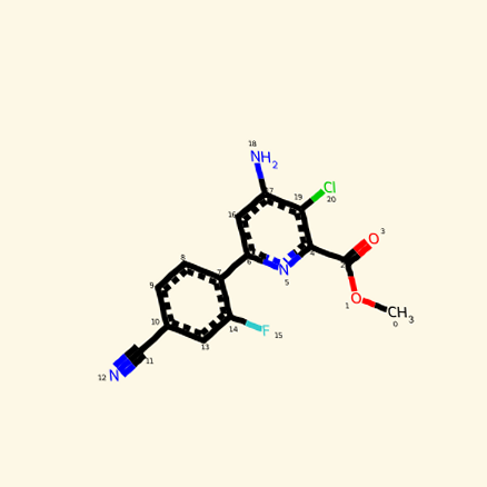 COC(=O)c1nc(-c2ccc(C#N)cc2F)cc(N)c1Cl